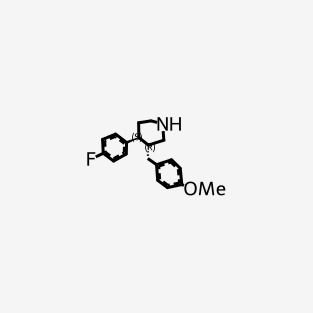 COc1ccc(C[C@H]2CNCC[C@@H]2c2ccc(F)cc2)cc1